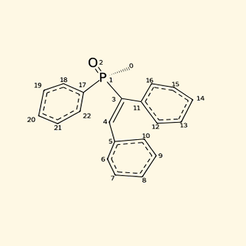 C[P@](=O)(/C(=C/c1ccccc1)c1ccccc1)c1ccccc1